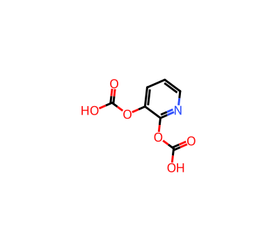 O=C(O)Oc1cccnc1OC(=O)O